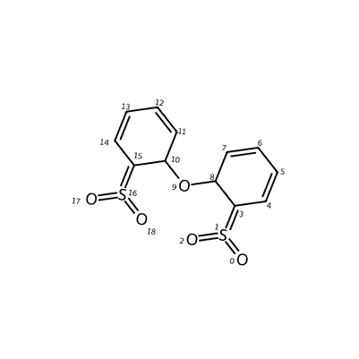 O=S(=O)=C1C=CC=CC1OC1C=CC=CC1=S(=O)=O